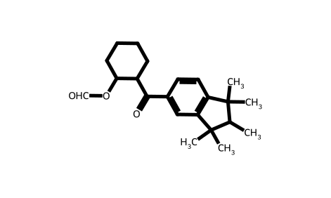 CC1C(C)(C)c2ccc(C(=O)C3CCCCC3OC=O)cc2C1(C)C